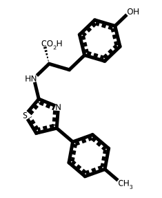 Cc1ccc(-c2csc(N[C@@H](Cc3ccc(O)cc3)C(=O)O)n2)cc1